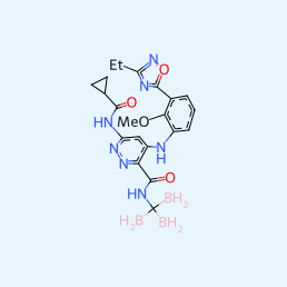 BC(B)(B)NC(=O)c1nnc(NC(=O)C2CC2)cc1Nc1cccc(-c2nc(CC)no2)c1OC